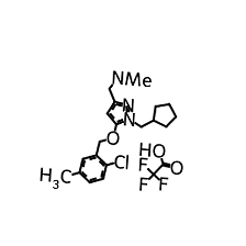 CNCc1cc(OCc2cc(C)ccc2Cl)n(CC2CCCC2)n1.O=C(O)C(F)(F)F